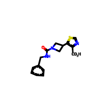 O=C(O)c1ncsc1C1CN(C(=O)NCc2ccccc2)C1